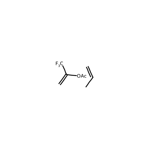 C=C(OC(C)=O)C(F)(F)F.C=CC